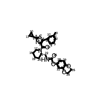 Cc1cccc(-c2sc(C3CC3)nc2C(=O)N2CCCC[C@H]2CNC(=O)Oc2ccc3c(c2)OCCO3)c1